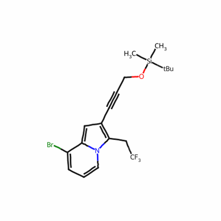 CC(C)(C)[Si](C)(C)OCC#Cc1cc2c(Br)cccn2c1CC(F)(F)F